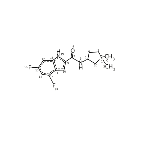 C[Si]1(C)CCC(NC(=O)c2cc3c(F)cc(F)cc3[nH]2)C1